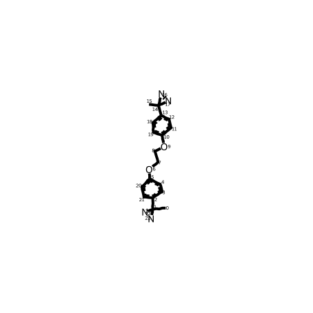 CC1(c2ccc(OCCOc3ccc(C4(C)N=N4)cc3)cc2)N=N1